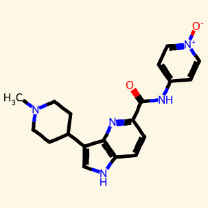 CN1CCC(c2c[nH]c3ccc(C(=O)Nc4cc[n+]([O-])cc4)nc23)CC1